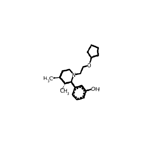 C[C@H]1CCN(CCOC2CCCC2)C(c2cccc(O)c2)[C@@H]1C